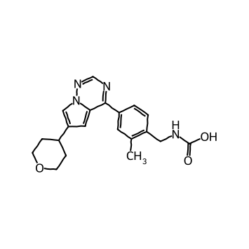 Cc1cc(-c2ncnn3cc(C4CCOCC4)cc23)ccc1CNC(=O)O